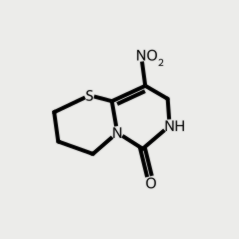 O=C1NCC([N+](=O)[O-])=C2SCCCN12